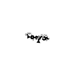 C[C@@H]1c2cc(F)sc2CCN1C(=O)c1cc(C2CC2)n2nc(-c3ccc([C@H]4C[C@@H]4C(N)=O)cc3F)cc2n1